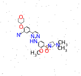 COc1cc(Nc2nccc(-c3ccc(OC4CCOCC4)c(C#N)c3)n2)ccc1[S+]([O-])N1CCC(N(C)C)C1